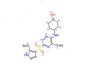 COc1nc(S(=O)(=O)c2cc[nH]c2SC)cnc1NC1CCC(O)CC1